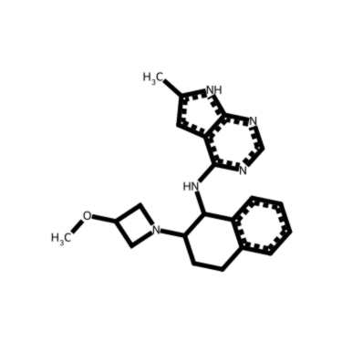 COC1CN(C2CCc3ccccc3C2Nc2ncnc3[nH]c(C)cc23)C1